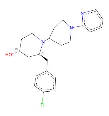 O[C@@H]1CCN(C2CCN(c3ccccn3)CC2)[C@@H](Cc2ccc(Cl)cc2)C1